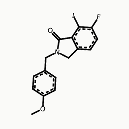 COc1ccc(CN2Cc3ccc(F)c(I)c3C2=O)cc1